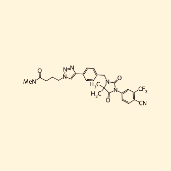 CNC(=O)CCCn1cc(-c2ccc(CN3C(=O)N(c4ccc(C#N)c(C(F)(F)F)c4)C(=O)C3(C)C)cc2)nn1